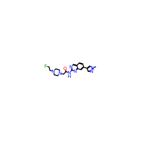 Cn1cc(-c2ccc3cnc(NC(=O)CN4CCN(CCF)CC4)nc3c2)cn1